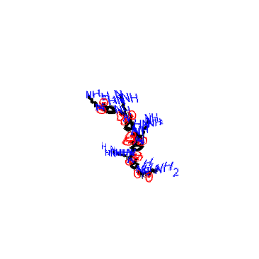 C[C@@H](NC(=O)CCN)C(=O)Nc1ccc2on([C@H](CCCNC(=N)N)C(=O)Nc3ccc4on([C@H](CCCNC(=N)N)C(=O)Nc5ccc6on([C@H](CCCNC(=N)N)C(=O)Nc7ccc8on(CCCCCN)c(=O)c8c7)c(=O)c6c5)c(=O)c4c3)c(=O)c2c1